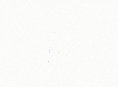 CCOC(=O)c1cc2n(n1)C[C@@](C)(C(=O)NC1CCC(C)CC1)N(c1ccc(O)cc1)C2=O